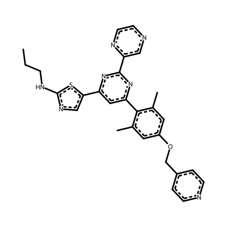 CCCNc1ncc(-c2cc(-c3c(C)cc(OCc4ccncc4)cc3C)nc(-c3cnccn3)n2)s1